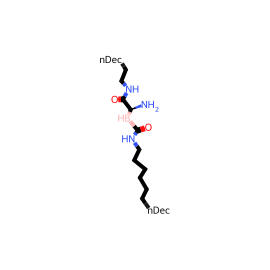 CCCCCCCCCCCCCCCCNC(=O)B[C@H](N)C(=O)NCCCCCCCCCCCC